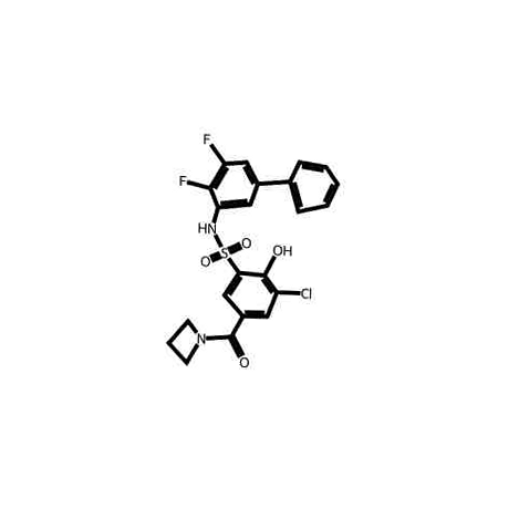 O=C(c1cc(Cl)c(O)c(S(=O)(=O)Nc2cc(-c3ccccc3)cc(F)c2F)c1)N1CCC1